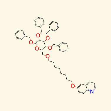 c1ccc(COC2O[C@H](COCCCCCCCCOc3ccc4ncccc4c3)[C@@H](OCc3ccccc3)[C@H](OCc3ccccc3)[C@H]2OCc2ccccc2)cc1